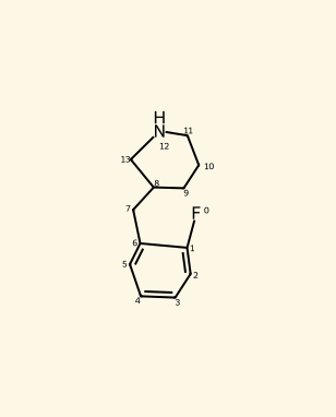 Fc1ccccc1CC1CCCNC1